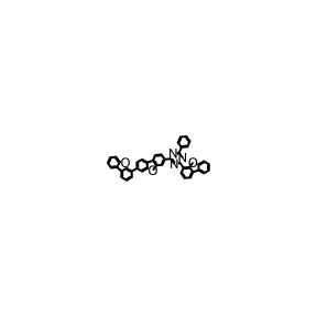 c1ccc(-c2nc(-c3ccc4c(c3)oc3cc(-c5cccc6c5oc5ccccc56)ccc34)nc(-c3cccc4c3oc3ccccc34)n2)cc1